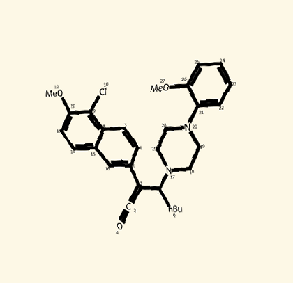 CCCCC(C(=C=O)c1ccc2c(Cl)c(OC)ccc2c1)N1CCN(c2ccccc2OC)CC1